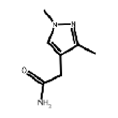 Cc1nn(C)cc1CC(N)=O